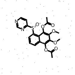 COc1c(OC)c(OC(C)=O)c2c([S+]([O-])c3ccncn3)cccc2c1OC(C)=O